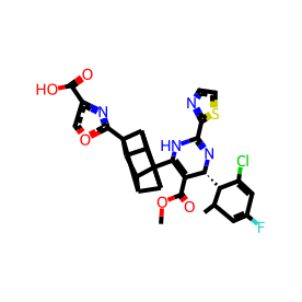 COC(=O)C1=C(C23C4C5C2C2C3C4C52c2nc(C(=O)O)co2)NC(c2nccs2)=N[C@@H]1C1C(Cl)=CC(F)=CC1C